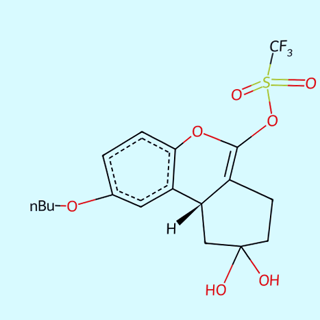 CCCCOc1ccc2c(c1)[C@H]1CC(O)(O)CCC1=C(OS(=O)(=O)C(F)(F)F)O2